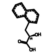 O=C(O)[C@H](O)Cc1cccc2ccccc12